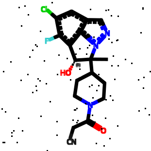 CC1(C2CCN(C(=O)CC#N)CC2)[C@H](O)c2c(F)c(Cl)cc3cnn1c23